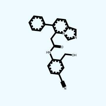 N#Cc1ccc(NC(=O)Cc2c(-c3ccccc3)ccc3cncn23)c(CO)c1